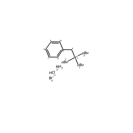 CCCC[N+](CCCC)(CCCC)Cc1ccccc1.Cl.N.[Br-]